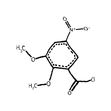 COc1cc([N+](=O)[O-])cc(C(=O)Cl)c1OC